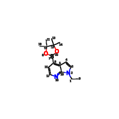 CCn1ccc2c(B3OC(C)(C)C(C)(C)O3)ccnc21